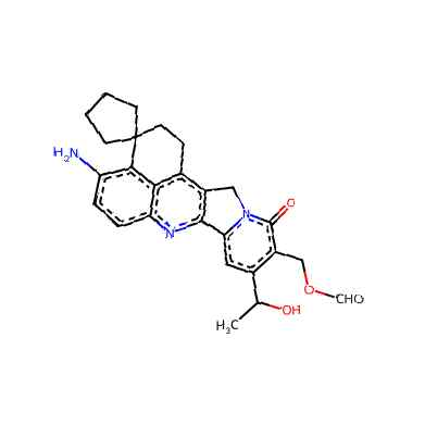 CC(O)c1cc2n(c(=O)c1COC=O)Cc1c-2nc2ccc(N)c3c2c1CCC31CCCC1